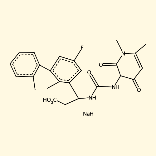 CC1=CC(=O)C(NC(=O)NC(CC(=O)O)c2cc(F)cc(-c3ccccc3C)c2C)C(=O)N1C.[NaH]